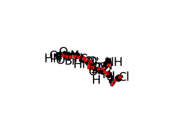 C[C@H]1CN(C2CCC(CNc3ccc(S(=O)(=O)NC(=O)c4ccc(N5CCN(CC6=C(c7ccc(Cl)cc7)CC(C)(C)CC6)CC5)cc4Oc4cnc5[nH]ccc5c4)cc3[N+](=O)[O-])CC2)CCN1Cc1cc(Br)c2c(c1)C(=O)N(C1CCC(=O)NC1=O)C2